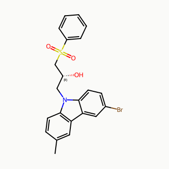 Cc1ccc2c(c1)c1cc(Br)ccc1n2C[C@@H](O)CS(=O)(=O)c1ccccc1